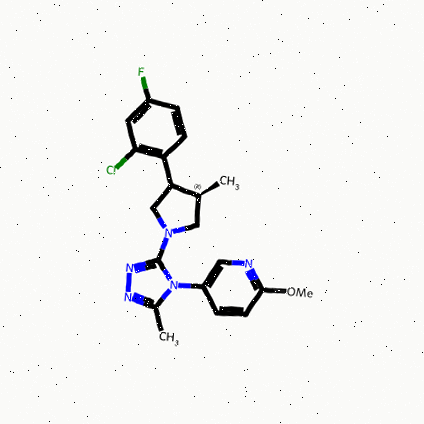 COc1ccc(-n2c(C)nnc2N2CC(c3ccc(F)cc3Cl)[C@@H](C)C2)cn1